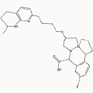 CC1CCc2ccc(CCCCOC3CCN(C(C(=O)O)c4cc(F)ccc4C4CCCO4)C3)nc2N1